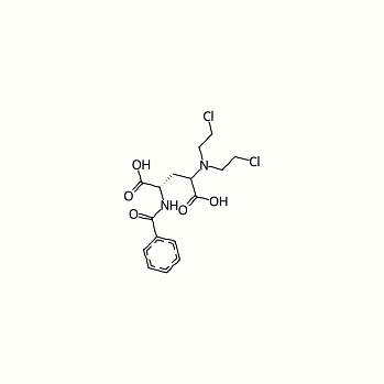 O=C(N[C@@H](CC(C(=O)O)N(CCCl)CCCl)C(=O)O)c1ccccc1